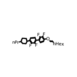 CCCCCC/C=C/Oc1ccc(-c2ccc(C3CCC(CCC)CC3)c(F)c2F)c(F)c1F